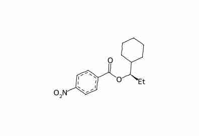 CC[C@@H](OC(=O)c1ccc([N+](=O)[O-])cc1)C1CCCCC1